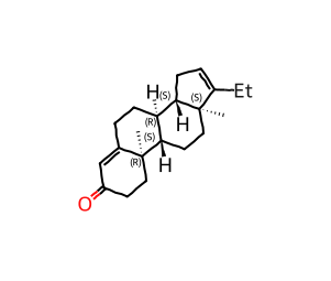 CCC1=CC[C@H]2[C@@H]3CCC4=CC(=O)CC[C@]4(C)[C@H]3CC[C@]12C